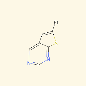 CCc1cc2cncnc2s1